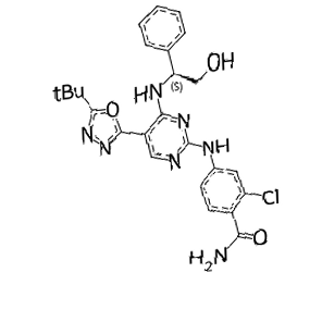 CC(C)(C)c1nnc(-c2cnc(Nc3ccc(C(N)=O)c(Cl)c3)nc2N[C@H](CO)c2ccccc2)o1